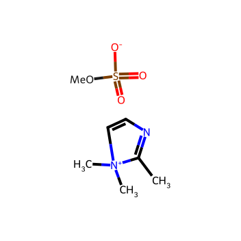 CC1=NC=C[N+]1(C)C.COS(=O)(=O)[O-]